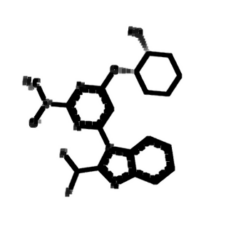 C[S+]([O-])c1nc(O[C@H]2CCCC[C@H]2O)cc(-n2c(C(F)F)nc3ccccc32)n1